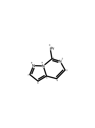 CC(C)c1nccc2ccnn12